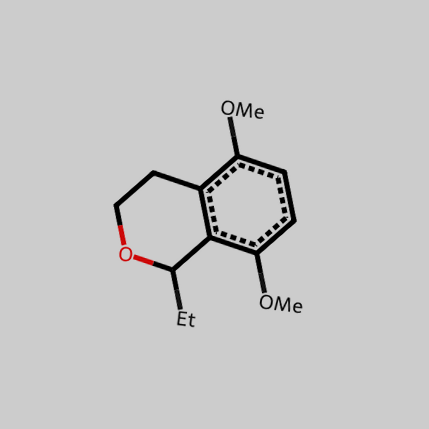 CCC1OCCc2c(OC)ccc(OC)c21